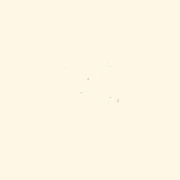 O=C(O)c1ccccc1C(=O)O.[LiH]